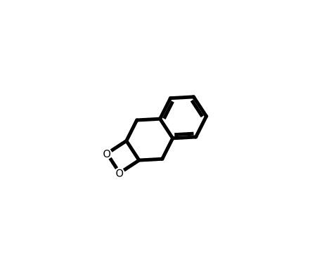 c1ccc2c(c1)CC1OOC1C2